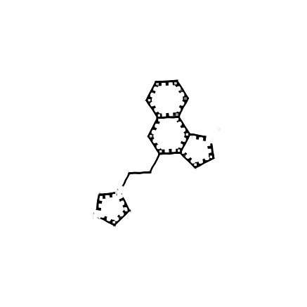 c1ccc2c(c1)cc(CCn1ccnc1)c1ccsc12